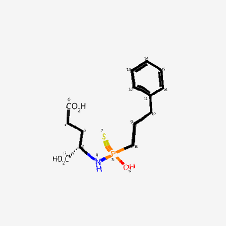 O=C(O)CC[C@H](NP(O)(=S)CCCc1ccccc1)C(=O)O